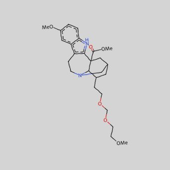 COCCOCOCCC1CC2CN3CCc4c([nH]c5ccc(OC)cc45)C(C(=O)OC)(C2)C13